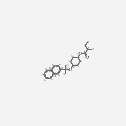 CCC(C)C(=O)OC1CCC(OC(C)(C)c2ccc3ccccc3c2)CC1